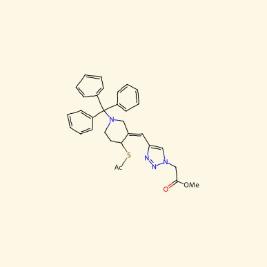 COC(=O)Cn1cc(C=C2CN(C(c3ccccc3)(c3ccccc3)c3ccccc3)CCC2SC(C)=O)nn1